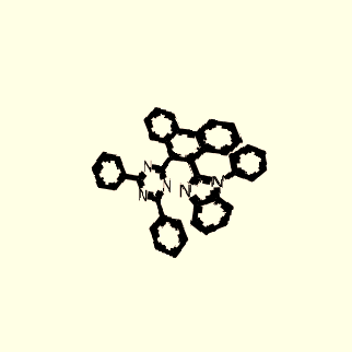 c1ccc(-c2nc(-c3ccccc3)nc(-c3c(-c4nc5ccccc5n4-c4ccccc4)c4ccccc4c4ccccc34)n2)cc1